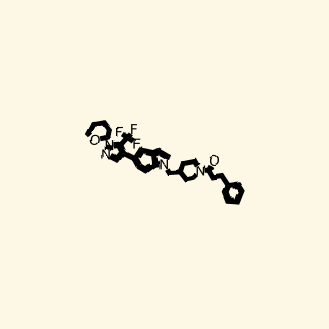 O=C(CCc1ccccc1)N1CCC(Cn2ccc3cc(-c4cnn(C5CCCCO5)c4C(F)(F)F)ccc32)CC1